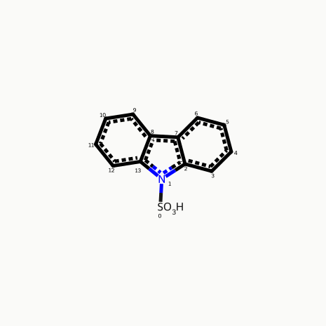 O=S(=O)(O)n1c2ccccc2c2ccccc21